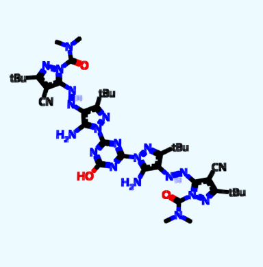 CN(C)C(=O)n1nc(C(C)(C)C)c(C#N)c1/N=N/c1c(C(C)(C)C)nn(-c2nc(O)nc(-n3nc(C(C)(C)C)c(/N=N/c4c(C#N)c(C(C)(C)C)nn4C(=O)N(C)C)c3N)n2)c1N